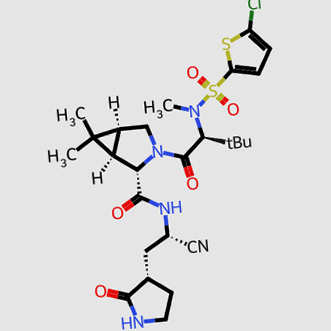 CN([C@H](C(=O)N1C[C@H]2[C@@H]([C@H]1C(=O)N[C@H](C#N)C[C@@H]1CCNC1=O)C2(C)C)C(C)(C)C)S(=O)(=O)c1ccc(Cl)s1